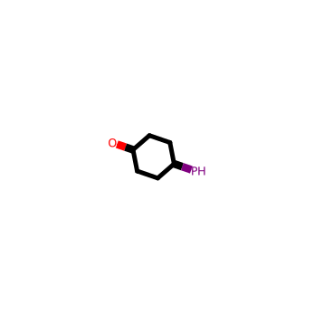 O=C1CCC(=P)CC1